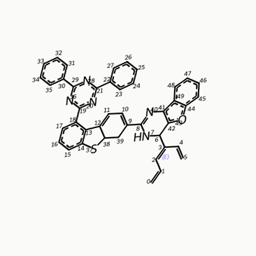 C=C/C=C(\C=C)C1NC(C2=CC=C3c4c(cccc4-c4nc(-c5ccccc5)nc(-c5ccccc5)n4)SC3C2)=Nc2c1oc1ccccc21